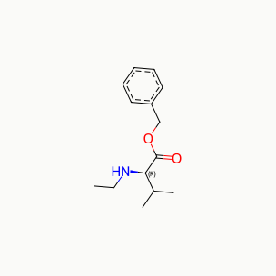 CCN[C@@H](C(=O)OCc1ccccc1)C(C)C